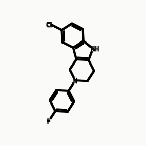 Fc1ccc(N2CCc3[nH]c4ccc(Cl)cc4c3C2)cc1